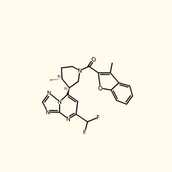 Cc1c(C(=O)N2CC[C@@H](C)[C@H](c3cc(C(F)F)nc4ncnn34)C2)oc2ccccc12